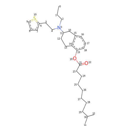 CCCN(CCc1cccs1)C1CCc2c(cccc2OC(=O)CCCCCCCC(C)C)C1